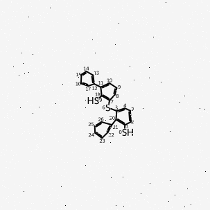 Sc1cccc(Sc2cccc(-c3ccccc3)c2S)c1-c1ccccc1